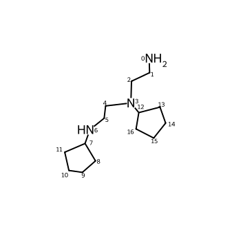 NCCN(CCNC1CCCC1)C1CCCC1